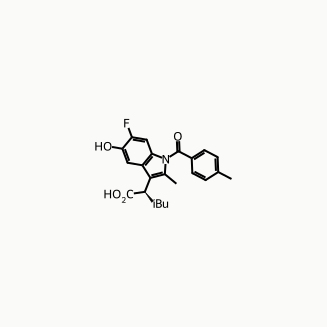 CCC(C)[C@@H](C(=O)O)c1c(C)n(C(=O)c2ccc(C)cc2)c2cc(F)c(O)cc12